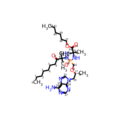 CCCCCCCC(=O)C(C)(C)NP(=O)(CO[C@H](C)Cn1cnc2c(N)ncnc21)NC(C)(C)C(=O)OCCCCCC